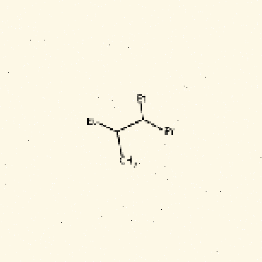 [CH2]C(C)C(CC)C(C)CC